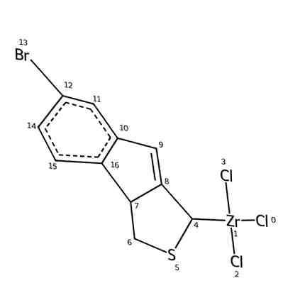 [Cl][Zr]([Cl])([Cl])[CH]1SCC2C1=Cc1cc(Br)ccc12